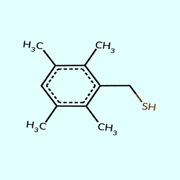 Cc1cc(C)c(C)c(CS)c1C